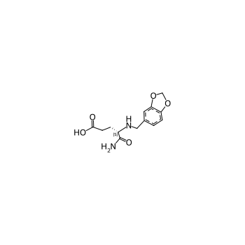 NC(=O)[C@H](CCC(=O)O)NCc1ccc2c(c1)OCO2